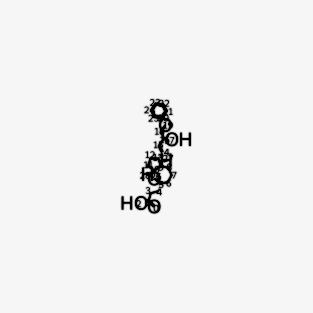 O=C(O)CC[C@H]1CCC[C@H]2[C@H](CC[C@@H]2/C=C/[C@@H](O)COc2ccccc2)O1